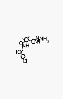 Cc1cc(C)c(-c2ccn3nc(N)nc3c2)cc1C(=O)NCCC(O)c1ccc(Cl)cc1